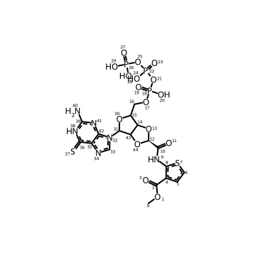 COC(=O)c1ccsc1NC(=O)[C@@H]1OC2C(COP(=O)(O)OP(=O)(O)OP(=O)(O)O)OC(n3cnc4c(=S)[nH]c(N)nc43)C2O1